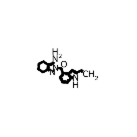 C=Cc1cc2c(C(=O)n3nc4c(c3N)CCCC4)cccc2[nH]1